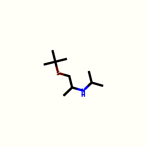 CC(C)NC(C)CSC(C)(C)C